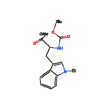 CCn1cc(CC(NC(=O)OC(C)(C)C)C(=O)OC)c2ccccc21